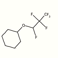 FC(OC1C[CH]CCC1)C(F)(F)C(F)(F)F